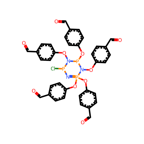 O=Cc1ccc(ON2P(Cl)N=P(Oc3ccc(C=O)cc3)(Oc3ccc(C=O)cc3)N(Oc3ccc(C=O)cc3)P2Oc2ccc(C=O)cc2)cc1